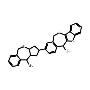 CC(C)(C)C1c2ccc(C3CC4SCc5ccccc5C(C(C)(C)C)C4C3)cc2CSc2c1sc1ccccc21